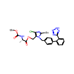 CCCCc1nc(Cl)c(COC(=O)[C@H](C)NC(=O)OC(C)(C)C)n1Cc1ccc(-c2ccccc2-c2nn[nH]n2)cc1